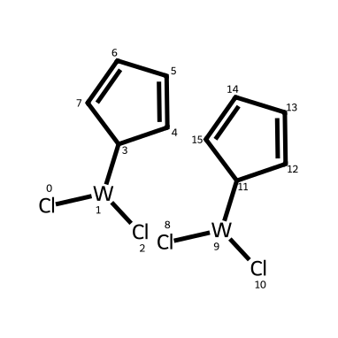 [Cl][W]([Cl])[CH]1C=CC=C1.[Cl][W]([Cl])[CH]1C=CC=C1